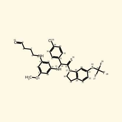 COc1cc(NCCCC=O)cc(NC(C(=S)N2CCc3ccc(SC(F)(F)F)cc32)c2ccc(Cl)cc2)c1